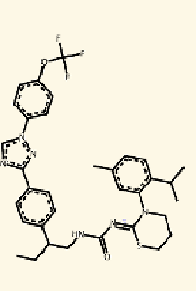 CCC(CNC(=O)/N=C1\SCCCN1c1cc(C)ccc1C(C)C)c1ccc(-c2ncn(-c3ccc(OC(F)(F)F)cc3)n2)cc1